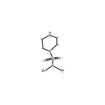 CC(C)N(C(C)C)S(=O)(=O)N1CCNCC1